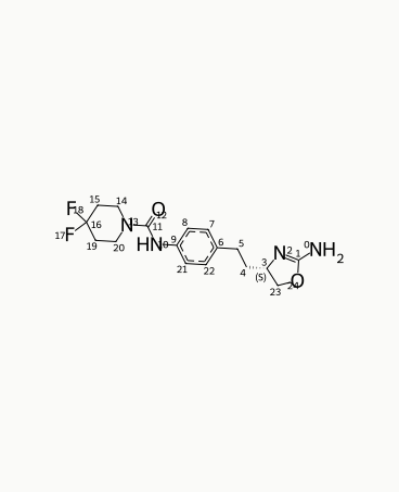 NC1=N[C@@H](CCc2ccc(NC(=O)N3CCC(F)(F)CC3)cc2)CO1